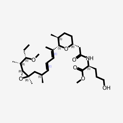 CC[C@H](OC)[C@@H](C)[C@H]1O[C@]1(C)C[C@H](C)/C=C/C=C(\C)[C@H]1O[C@@H](CC(=O)N[C@@H](CCCO)C(=O)OC)CC[C@@H]1C